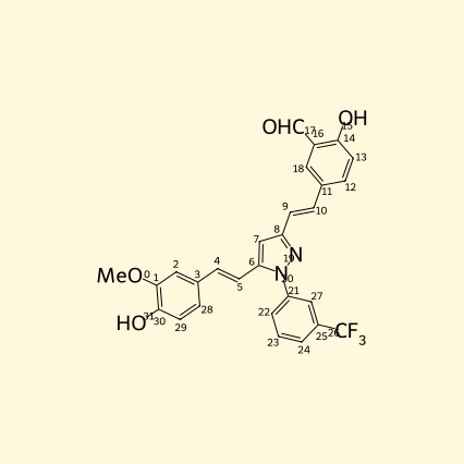 COc1cc(/C=C/c2cc(/C=C/c3ccc(O)c(C=O)c3)nn2-c2cccc(C(F)(F)F)c2)ccc1O